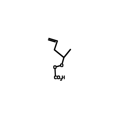 C=CCC(C)OOC(=O)O